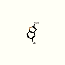 CC(C)(C)c1ccc2sc(C(C)(C)C)cc2c1